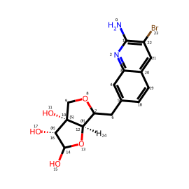 Nc1nc2cc(CC3OC[C@@]4(O)[C@@H]3OC(O)[C@@H]4O)ccc2cc1Br